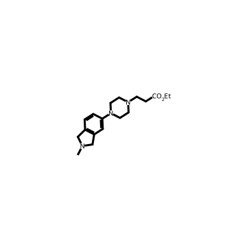 CCOC(=O)CCN1CCN(c2ccc3c(c2)CN(C)C3)CC1